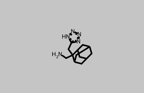 NCC1(Cc2nnn[nH]2)C2CC3CC(C2)CC1C3